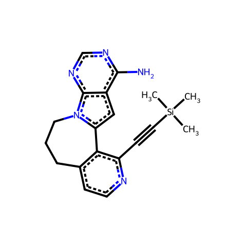 C[Si](C)(C)C#Cc1nccc2c1-c1cc3c(N)ncnc3n1CCC2